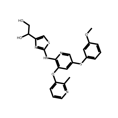 COc1cccc(Sc2cnc(Nc3nc(C(O)CO)cs3)c(Oc3cccnc3C)c2)c1